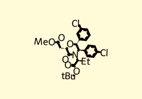 CC[C@@H](C(=O)OC(C)(C)C)N1C(=O)[C@H](CC(=O)OC)O[C@H](c2cccc(Cl)c2)[C@H]1c1ccc(Cl)cc1